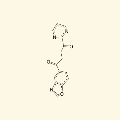 O=C(CCC(=O)c1ncccn1)c1ccc2ocnc2c1